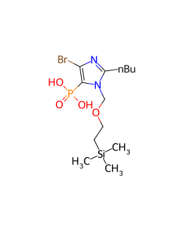 CCCCc1nc(Br)c(P(=O)(O)O)n1COCC[Si](C)(C)C